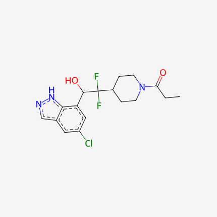 CCC(=O)N1CCC(C(F)(F)C(O)c2cc(Cl)cc3cn[nH]c23)CC1